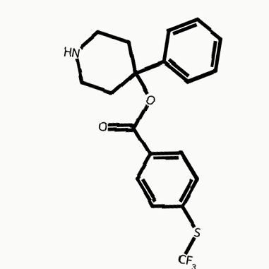 O=C(OC1(c2ccccc2)CCNCC1)c1ccc(SC(F)(F)F)cc1